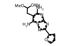 COC(Cc1c(N)nc2nc(-c3ccco3)nn2c1N)OC